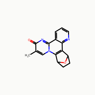 Cc1cn2c3c(c4ncccc4c2nc1=O)C1CCC3O1